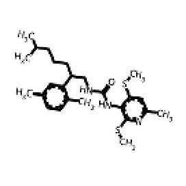 CSc1cc(C)nc(SC)c1NC(=O)NCC(CCCC(C)C)c1cc(C)ccc1C